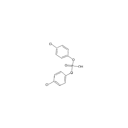 O=P(O)(Oc1ccc(Cl)cc1)Oc1ccc(Cl)cc1